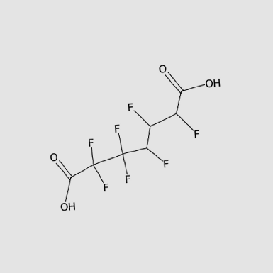 O=C(O)C(F)C(F)C(F)C(F)(F)C(F)(F)C(=O)O